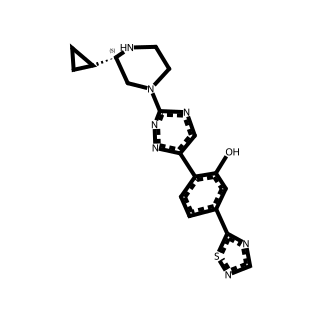 Oc1cc(-c2ncns2)ccc1-c1cnc(N2CCN[C@@H](C3CC3)C2)nn1